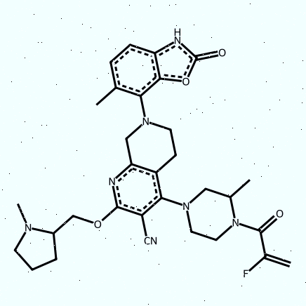 C=C(F)C(=O)N1CCN(c2c(C#N)c(OCC3CCCN3C)nc3c2CCN(c2c(C)ccc4[nH]c(=O)oc24)C3)CC1C